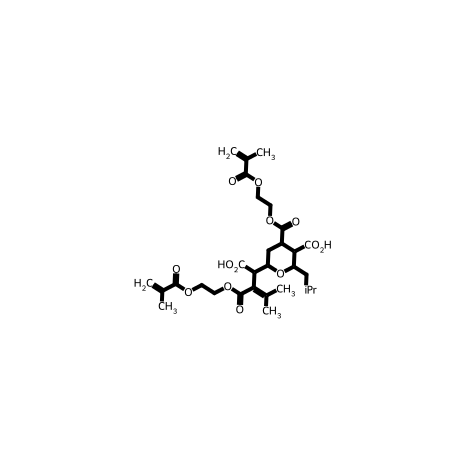 C=C(C)C(=O)OCCOC(=O)C(=C(C)C)C(C(=O)O)C1CC(C(=O)OCCOC(=O)C(=C)C)C(C(=O)O)C(CC(C)C)O1